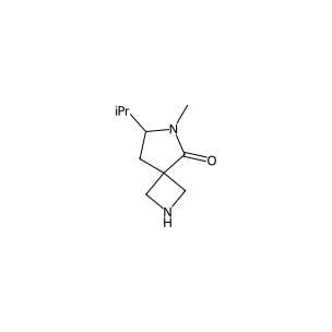 CC(C)C1CC2(CNC2)C(=O)N1C